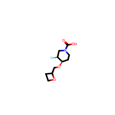 O=C(O)N1CC[C@@H](OCC2CCO2)[C@@H](F)C1